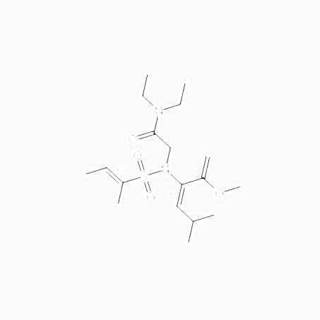 C=C(OC)/C(=C\C(C)C)N(CC(=O)N(CC)CC)S(=O)(=O)/C(C)=C/C